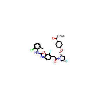 COC(=O)[C@H]1CC[C@H](OC[C@@H]2C[C@H](F)CN2C(=O)Cc2ccc3nc(Nc4c(C)cccc4Cl)oc3c2F)CC1